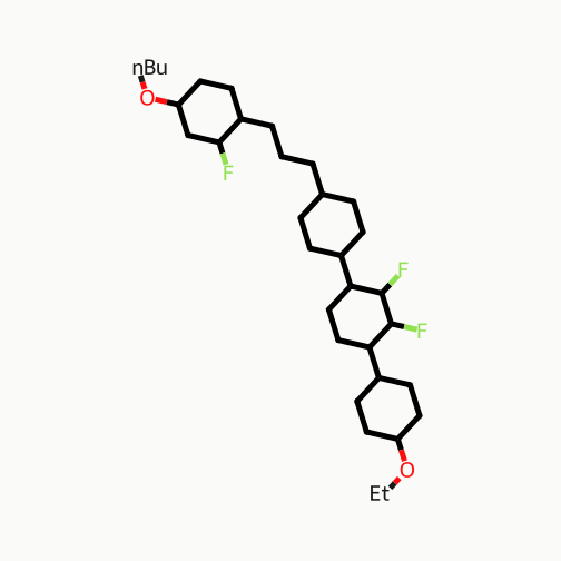 CCCCOC1CCC(CCCC2CCC(C3CCC(C4CCC(OCC)CC4)C(F)C3F)CC2)C(F)C1